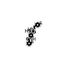 O=C(Nc1ccc(N(S)C(=O)NCCc2ccc(F)cc2)cc1)c1ccccc1F